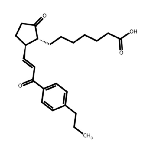 CCCc1ccc(C(=O)C=C[C@H]2CCC(=O)[C@@H]2CCCCCCC(=O)O)cc1